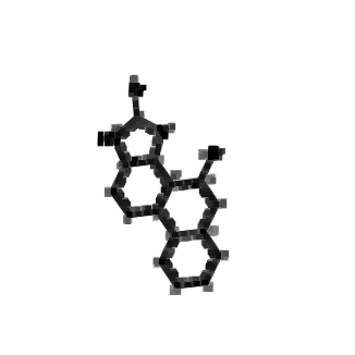 Brc1nc2c(ccc3c4ccccc4cc(Br)c32)[nH]1